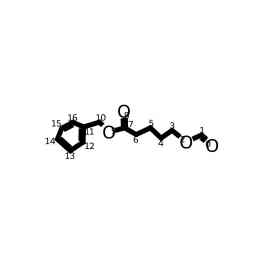 O=COCCCCC(=O)OCc1ccccc1